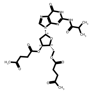 CC(=O)CCC(=O)OC[C@H]1O[C@@H](n2cnc3c(=O)[nH]c(NC(=O)C(C)C)nc32)C[C@@H]1OC(=O)CCC(C)=O